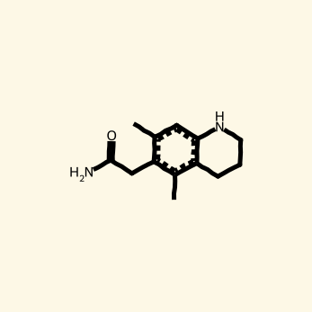 Cc1cc2c(c(C)c1CC(N)=O)CCCN2